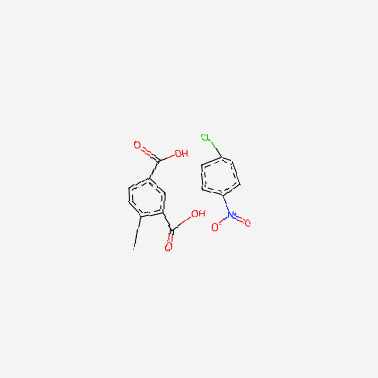 Cc1ccc(C(=O)O)cc1C(=O)O.O=[N+]([O-])c1ccc(Cl)cc1